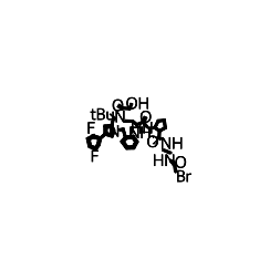 CC(C)(C)[C@H](c1cc(-c2cc(F)ccc2F)cn1Cc1ccccc1)N(CC[C@H](N)C(=O)NC1CCCC1C(=O)NCCNC(=O)CBr)C(=O)CO